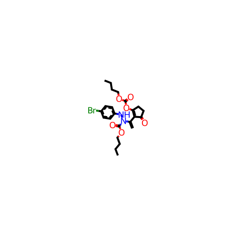 C=C(C1=C(OC(=O)OCCCC)CCC1=O)N(Nc1ccc(Br)cc1)C(=O)OCCCC